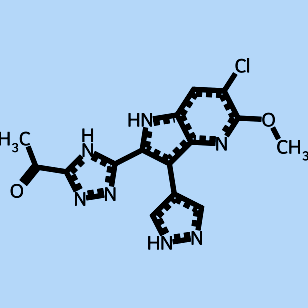 COc1nc2c(-c3cn[nH]c3)c(-c3nnc(C(C)=O)[nH]3)[nH]c2cc1Cl